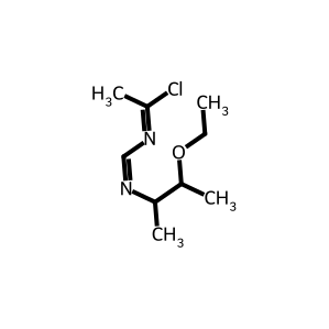 CCOC(C)C(C)/N=C\N=C(/C)Cl